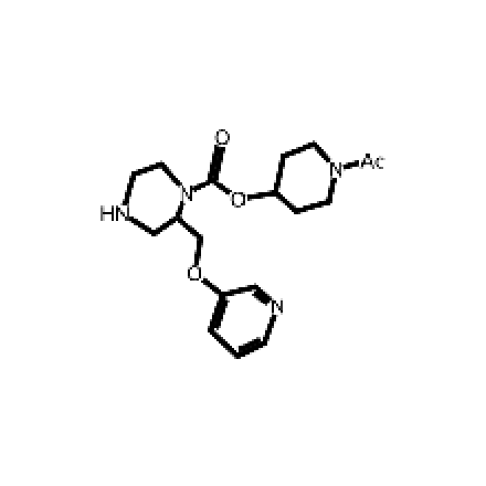 CC(=O)N1CCC(OC(=O)N2CCNCC2COc2cccnc2)CC1